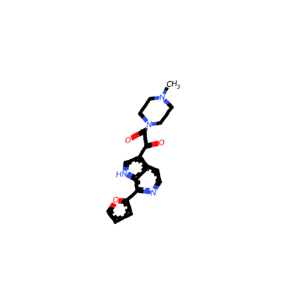 CN1CCN(C(=O)C(=O)c2c[nH]c3c(-c4ccco4)nccc23)CC1